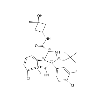 CC(C)(C)C[C@H]1N[C@@H](C(=O)N[C@H]2C[C@@](C)(O)C2)[C@H](c2cccc(Cl)c2F)[C@@]12C(=O)Nc1cc(Cl)c(F)cc12